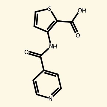 O=C(Nc1ccsc1C(=O)O)c1ccncc1